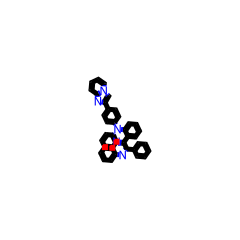 c1ccc(-c2nc3ccccc3nc2-c2ccccc2N(c2ccccc2)c2ccc(-c3cn4ccccc4n3)cc2)cc1